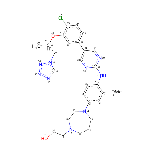 COc1cc(N2CCCN(CCO)CC2)ccc1Nc1ncc(-c2ccc(Cl)c(O[Si@@H](C)Cn3cnnn3)c2)cn1